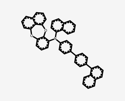 c1cc2c(c(N(c3ccc(-c4ccc(-c5cccc6ccccc56)cc4)cc3)c3cccc4ccccc34)c1)Oc1cccc3cccc(c13)O2